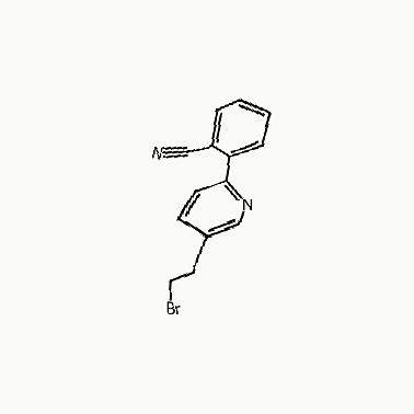 N#Cc1ccccc1-c1ccc(CCBr)cn1